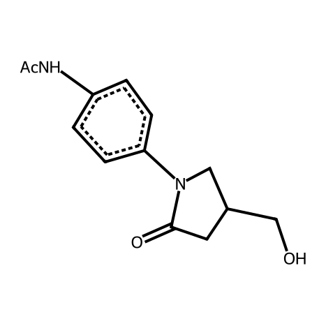 CC(=O)Nc1ccc(N2CC(CO)CC2=O)cc1